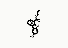 C=CCOC(=O)C1c2[nH]c3ccc(OC)cc3c2C2CCN1C2